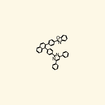 c1ccc(-c2cc(-c3ccccc3)nc(-c3ccc(-c4c(-c5ccc(-c6nc7ccccc7o6)cc5)ccc5ccccc45)cc3)n2)cc1